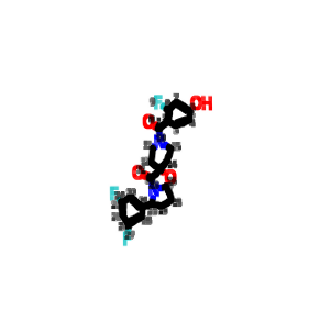 O=C(c1ccc(O)cc1F)N1CCC2(CC1)OC1CCC(c3cc(F)cc(F)c3)N1C2=O